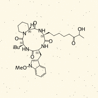 CCC(C)[C@@H]1NC(=O)[C@H](Cc2cn(OC)c3ccccc23)NC(=O)[C@H](CCCCCC(=O)C(C)O)NC(=O)[C@H]2CCCCN2C1=O